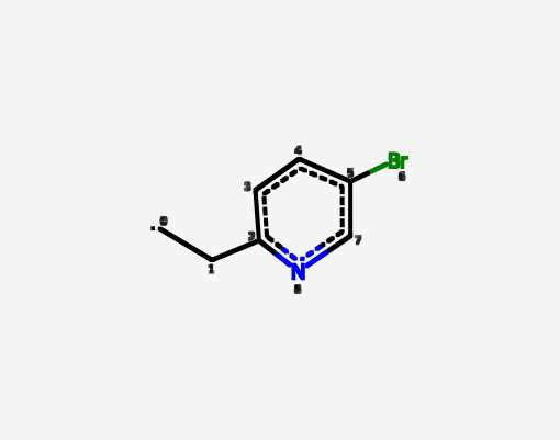 [CH2]Cc1ccc(Br)cn1